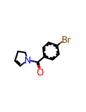 O=C(c1ccc(Br)cc1)N1C=CCC1